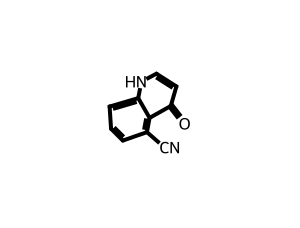 N#Cc1cccc2[nH]ccc(=O)c12